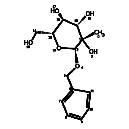 C[C@@]1(O)[C@@H](OCc2ccccc2)O[C@H](CO)[C@@H](O)[C@@H]1O